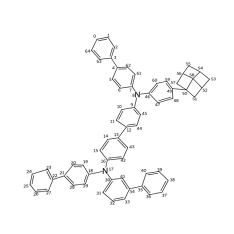 c1ccc(-c2ccc(N(c3ccc(-c4ccc(N(c5ccc(-c6ccccc6)cc5)c5cccc(-c6ccccc6)c5)cc4)cc3)c3ccc(C45CC6CC7CC(C4)C765)cc3)cc2)cc1